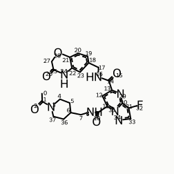 CC(=O)N1CCC(CNC(=O)c2cc(C(=O)NCc3ccc4c(c3)NC(=O)CO4)nc3c(F)cnn23)CC1